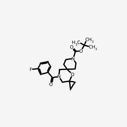 CC(C)(C)OC(=O)N1CCC2(CC1)CN(C(=O)c1cccc(F)c1)CC1(CC1)O2